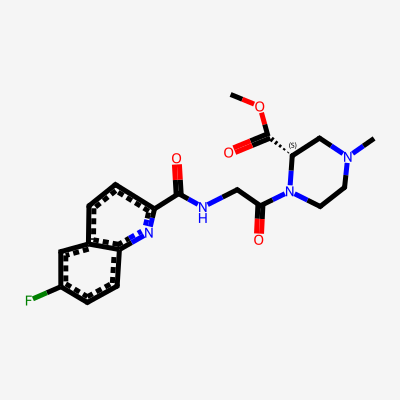 COC(=O)[C@@H]1CN(C)CCN1C(=O)CNC(=O)c1ccc2cc(F)ccc2n1